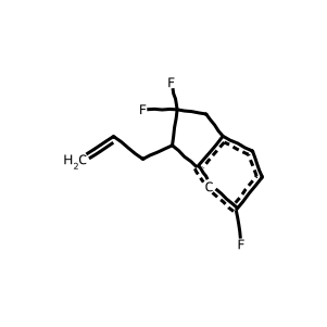 C=CCC1c2cc(F)ccc2CC1(F)F